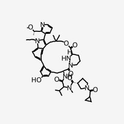 CCn1c(-c2cccnc2[C@H](C)OC)c2c3cc(ccc31)-c1cc(O)cc(c1)C[C@H](NC(=O)C(C(C)C)N(C)C(=O)[C@@H]1CCN(C(=O)C3CC3)C1)C(=O)N1CCC[C@H](N1)C(=O)OCC(C)(C)C2